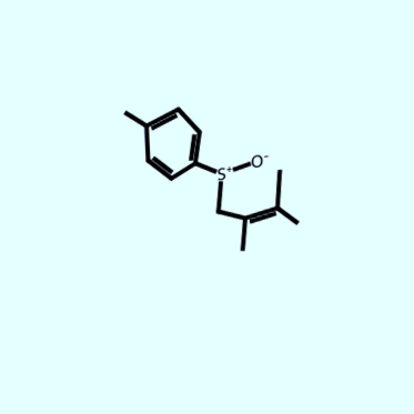 CC(C)=C(C)C[S+]([O-])c1ccc(C)cc1